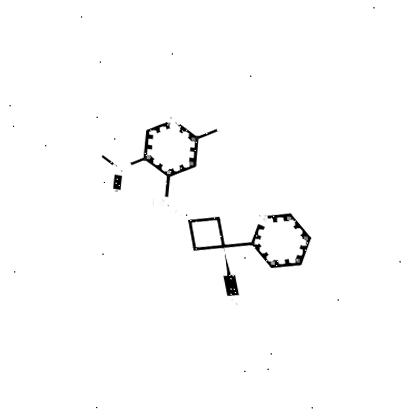 N#C[C@]1(c2ccccn2)C[C@@H](Nc2cc(Cl)ncc2[N+](=O)[O-])C1